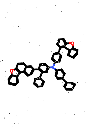 c1ccc(-c2ccc(N(c3ccc(-c4cccc5oc6ccccc6c45)cc3)c3ccc(-c4ccc5c(ccc6oc7ccccc7c65)c4)c(-c4ccccc4)c3)cc2)cc1